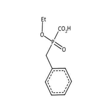 CCOP(=O)(Cc1ccccc1)C(=O)O